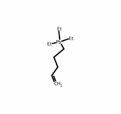 C=CCC[CH2][Pb]([CH2]C)([CH2]C)[CH2]C